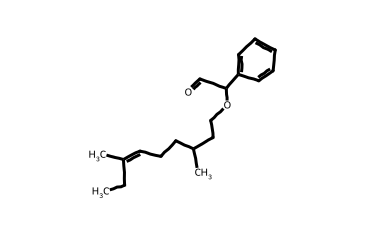 CCC(C)=CCCC(C)CCOC(C=O)c1ccccc1